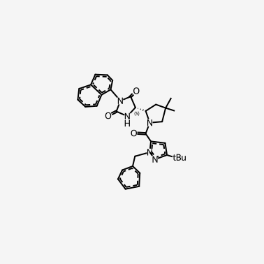 CC1(C)CC([C@@H]2NC(=O)N(c3cccc4ccccc34)C2=O)N(C(=O)c2cc(C(C)(C)C)nn2Cc2ccccc2)C1